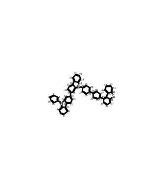 c1ccc(-n2c3ccccc3c3ccc(-c4ccc5c6ccccc6n(-c6ccc(-c7ccc(-c8cccc9sc%10ccccc%10c89)cc7)cc6)c5c4)cc32)cc1